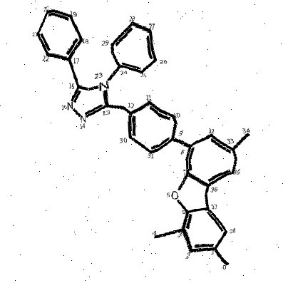 Cc1cc(C)c2oc3c(-c4ccc(-c5nnc(-c6ccccc6)n5-c5ccccc5)cc4)cc(C)cc3c2c1